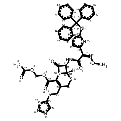 CO/N=C(\C(=O)N[C@@H]1C(=O)N2C(C(=O)OCOC(C)=O)=C(CSc3cnns3)CS[C@@H]12)c1csc(NC(c2ccccc2)(c2ccccc2)c2ccccc2)n1